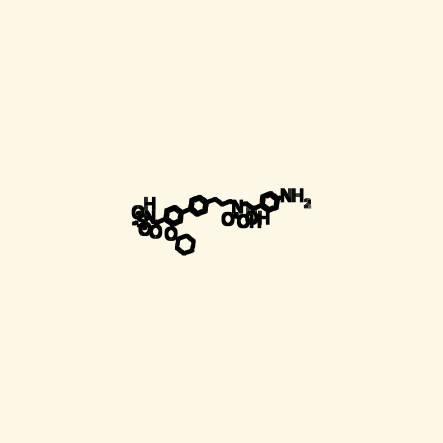 CS(=O)(=O)NC(=O)c1ccc(-c2ccc(CCCN(C[C@H](O)c3ccc(N)cc3)C(=O)O)cc2)cc1OC1CCCCC1